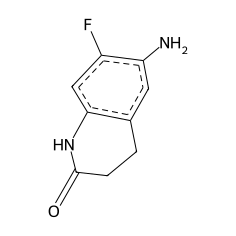 Nc1cc2c(cc1F)NC(=O)CC2